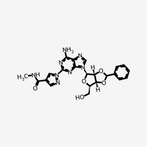 CNC(=O)c1cnn(-c2nc(N)c3ncn([C@@H]4O[C@H](CO)[C@H]5OC(c6ccccc6)O[C@H]54)c3n2)c1